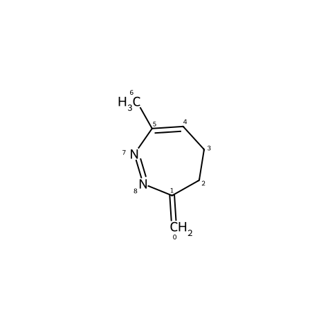 C=C1CCC=C(C)N=N1